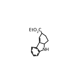 CCOC(=O)C1C=C2c3ccccc3NC2CC1